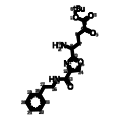 CC(C)(C)OC(=O)C(=O)CCC(N)c1nc(C(=O)NCCc2ccccc2)co1